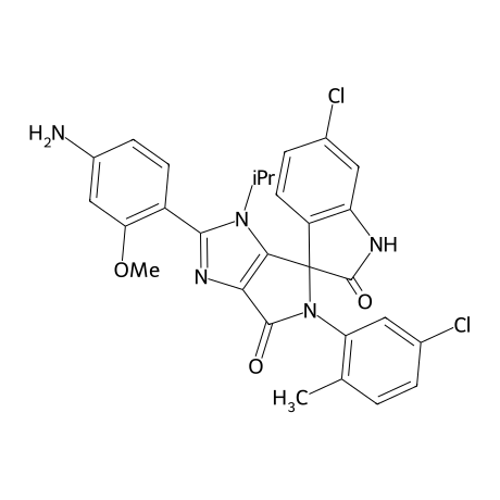 COc1cc(N)ccc1-c1nc2c(n1C(C)C)C1(C(=O)Nc3cc(Cl)ccc31)N(c1cc(Cl)ccc1C)C2=O